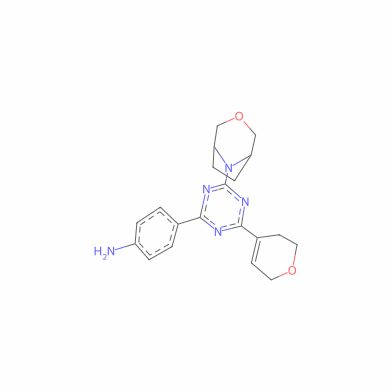 Nc1ccc(-c2nc(C3=CCOCC3)nc(N3C4CCC3COC4)n2)cc1